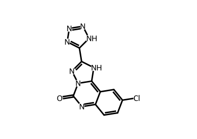 O=c1nc2ccc(Cl)cc2c2[nH]c(-c3nnn[nH]3)nn12